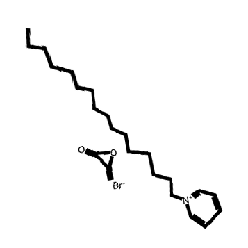 C=C1OC1=O.CCCCCCCCCCCCCCCC[n+]1ccccc1.[Br-]